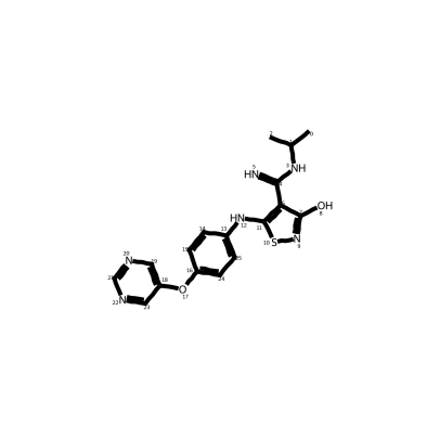 CC(C)NC(=N)c1c(O)nsc1Nc1ccc(Oc2cncnc2)cc1